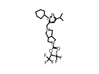 CC(C)c1cc(CN2CC3CN(C(=O)OC(C(F)(F)F)C(F)(F)F)CC3C2)n(C2CCCCC2)n1